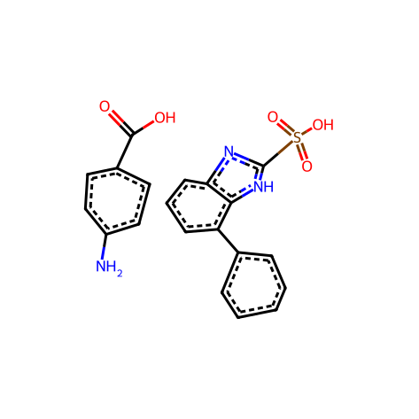 Nc1ccc(C(=O)O)cc1.O=S(=O)(O)c1nc2cccc(-c3ccccc3)c2[nH]1